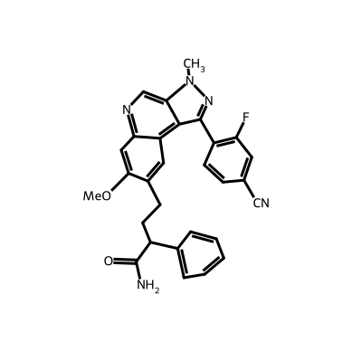 COc1cc2ncc3c(c(-c4ccc(C#N)cc4F)nn3C)c2cc1CCC(C(N)=O)c1ccccc1